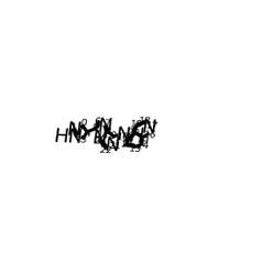 C1=NNCC1c1cnc2c(Nc3cccc4cnccc34)nccn12